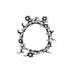 CCCC[C@H]1C(=O)N(C)[C@@H](CCCC)C(=O)NC2(CCCC2)C(=O)N[C@H](C(=O)NCC(N)=O)CSCC(=O)N[C@@H](Cc2ccc(O)cc2)C(=O)N(C)[C@@H](C)C(=O)N[C@@H](CC(N)=O)C(=O)N2CCC[C@H]2C(=O)N[C@@H](CN)C(=O)N[C@@H](CC(C)C)C(=O)N2CCC[C@H]2C(=O)N[C@@H](Cc2c[nH]c3ccccc23)C(=O)N[C@@H](CCN)C(=O)N[C@@H](Cc2c[nH]c3ccccc23)C(=O)N1C